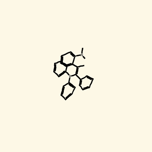 C/C(=C(/B(c1ccccc1)c1ccccc1)c1ccccc1)c1ccccc1N(C)C